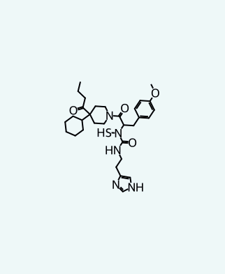 CCCC(=O)C1(C2CCCCC2)CCN(C(=O)C(Cc2ccc(OC)cc2)N(S)C(=O)NCCc2c[nH]cn2)CC1